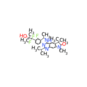 CC(C)c1nc(NC(C)c2cccc(C(F)(F)C(C)(C)O)c2F)c2cc3c(cc2n1)N(C)C(=O)C3(C)C